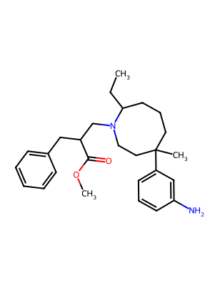 CCC1CCCC(C)(c2cccc(N)c2)CCN1CC(Cc1ccccc1)C(=O)OC